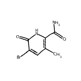 Cc1cc(Br)c(=O)[nH]c1C(N)=O